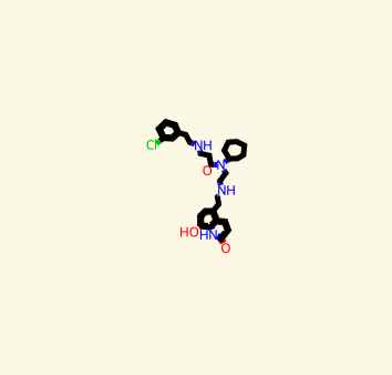 O=C(CCNCCc1cccc(Cl)c1)N(CCNCCc1ccc(O)c2[nH]c(=O)ccc12)C1CCCCCC1